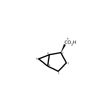 O=C(O)[C@H]1CCC2CC21